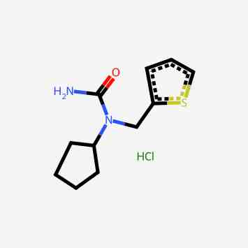 Cl.NC(=O)N(Cc1cccs1)C1CCCC1